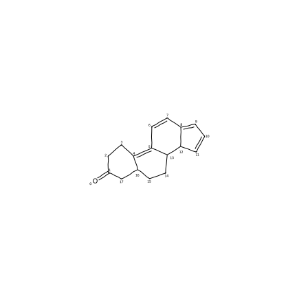 O=C1CCC2=C3C=CC4=CC=CC4C3CCC2C1